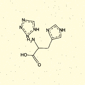 NC(Cc1c[nH]cn1)C(=O)O.c1nnn[nH]1